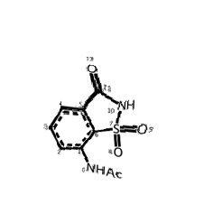 CC(=O)Nc1cccc2c1S(=O)(=O)NC2=O